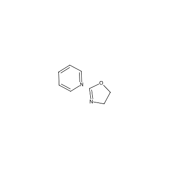 C1=NCCO1.c1ccncc1